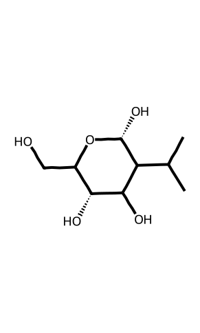 CC(C)C1C(O)[C@H](O)C(CO)O[C@@H]1O